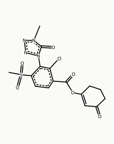 Cn1nnn(-c2c(S(C)(=O)=O)ccc(C(=O)OC3=CC(=O)CCC3)c2Cl)c1=O